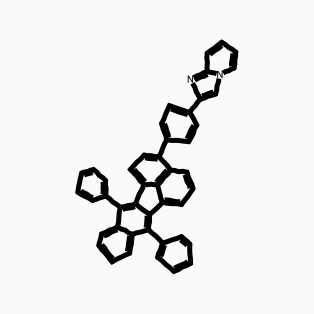 c1ccc(-c2c3c(c(-c4ccccc4)c4ccccc24)-c2ccc(-c4ccc(-c5cn6ccccc6n5)cc4)c4cccc-3c24)cc1